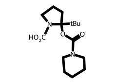 CC(C)(C)C1(OC(=O)N2CCCCC2)CCCN1C(=O)O